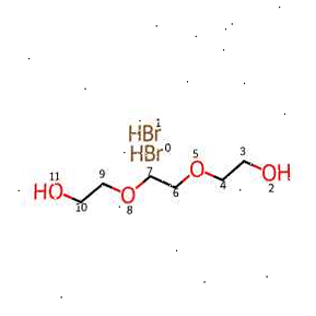 Br.Br.OCCOCCOCCO